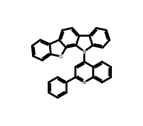 c1ccc(-c2cc(-n3c4ccccc4c4ccc5c6ccccc6oc5c43)c3ccccc3n2)cc1